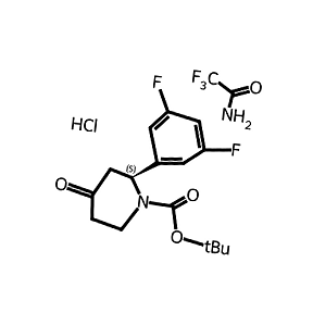 CC(C)(C)OC(=O)N1CCC(=O)C[C@H]1c1cc(F)cc(F)c1.Cl.NC(=O)C(F)(F)F